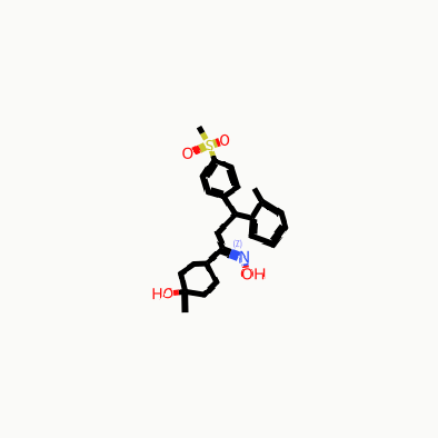 Cc1ccccc1C(C/C(=N/O)C1CCC(C)(O)CC1)c1ccc(S(C)(=O)=O)cc1